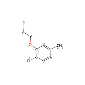 Cc1ccc(Cl)c(OCCF)c1